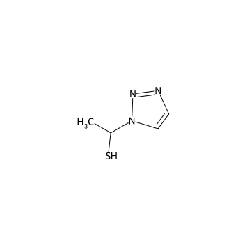 CC(S)n1ccnn1